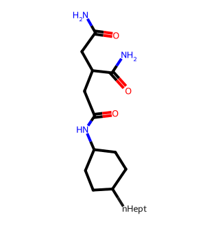 CCCCCCCC1CCC(NC(=O)CC(CC(N)=O)C(N)=O)CC1